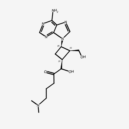 CN(C)CCCC(=O)C(O)[C@H]1C[C@@H](n2cnc3c(N)ncnc32)[C@H]1CO